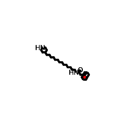 O=C(CC12CC3CC(CC(C3)C1)C2)NCCCCCCCCCCCCCCC1CCNCC1